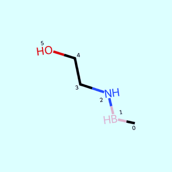 CBNCCO